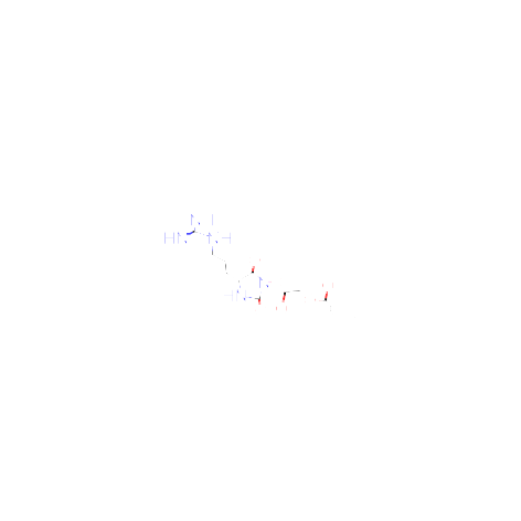 N=C(N)NCCC[C@@H]1NC(=O)N(OC(=O)COC(=O)C(F)(F)F)C1=O